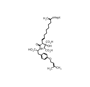 C=C(CCCCCCC)CCCCCC/C=C/[C@H](C(=O)N[C@@H](Cc1ccc(OCC=C(C)C)cc1)C(=O)O)[C@@](O)(CC(=O)O)C(=O)O